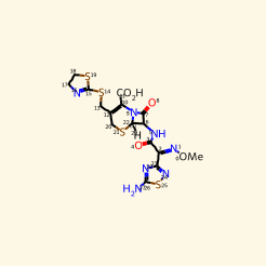 CON=C(C(=O)NC1C(=O)N2C(C(=O)O)=C(CSC3=NCCS3)CS[C@@H]12)c1nsc(N)n1